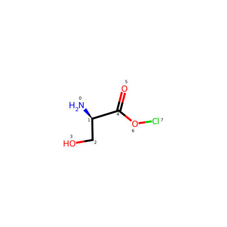 N[C@H](CO)C(=O)OCl